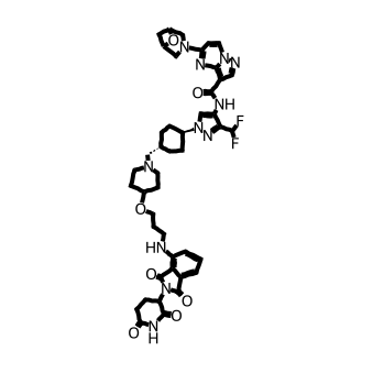 O=C1CCC(N2C(=O)c3cccc(NCCCOC4CCN(C[C@H]5CC[C@H](n6cc(NC(=O)c7cnn8ccc(N9CC%10CC(C9)O%10)nc78)c(C(F)F)n6)CC5)CC4)c3C2=O)C(=O)N1